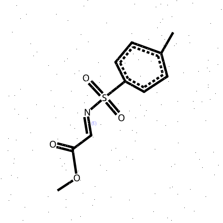 COC(=O)/C=N/S(=O)(=O)c1ccc(C)cc1